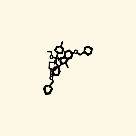 CCOC(c1ccc(C)cc1)(N1CCNCC1)n1c(-c2ccc(OCc3ccccc3)cc2)c(C)c2cc(OCc3ccccc3)ccc21